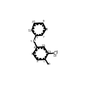 Cc1ccc([I+]c2ccccc2)cc1Cl